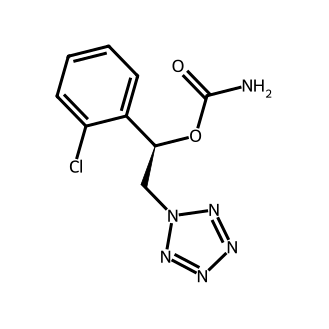 NC(=O)O[C@@H](Cn1nnnn1)c1ccccc1Cl